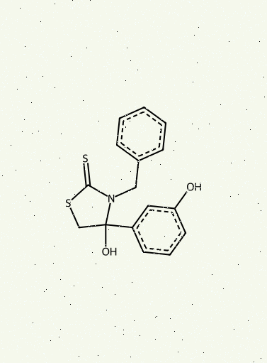 Oc1cccc(C2(O)CSC(=S)N2Cc2ccccc2)c1